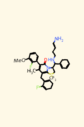 COc1cccc(-c2c(C)c(CC3=C(C(F)(F)F)CCC=C3F)c3n(c2=O)C(C(NCCCCN)C2=CC=CCC2)CS3)c1F